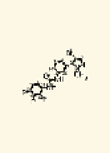 Cn1ncc(Br)c1-c1cccc(NC(=O)Nc2ccc(F)c(F)c2F)c1